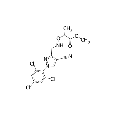 COC(=O)C(C)ONCc1nn(-c2c(Cl)cc(Cl)cc2Cl)cc1C#N